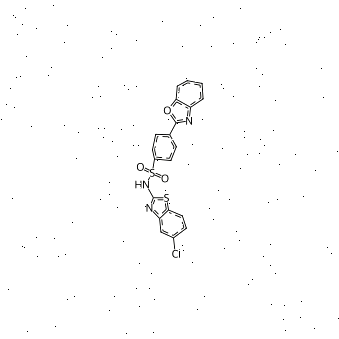 O=S(=O)(Nc1nc2cc(Cl)ccc2s1)c1ccc(-c2nc3ccccc3o2)cc1